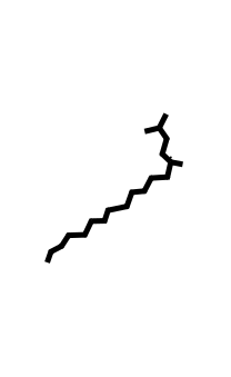 CCCCCCCCCCCCC[C](C)CCC(C)C